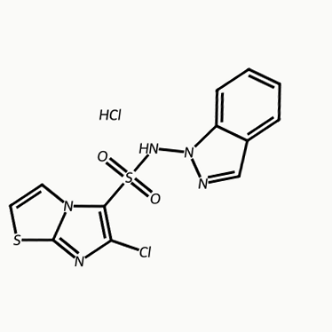 Cl.O=S(=O)(Nn1ncc2ccccc21)c1c(Cl)nc2sccn12